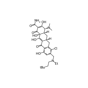 CCN(CCC(C)(C)C)Cc1cc(O)c2c(c1Cl)C[C@H]1C[C@H]3[C@H](N(C)C)C(O)=C(C(N)=O)C(=O)[C@@]3(O)C(O)=C1C2=O